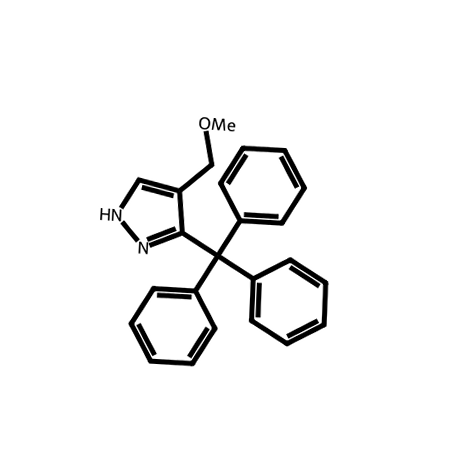 COCc1c[nH]nc1C(c1ccccc1)(c1ccccc1)c1ccccc1